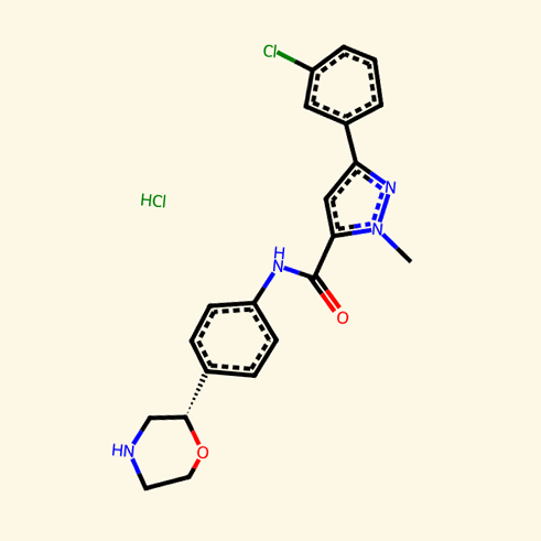 Cl.Cn1nc(-c2cccc(Cl)c2)cc1C(=O)Nc1ccc([C@H]2CNCCO2)cc1